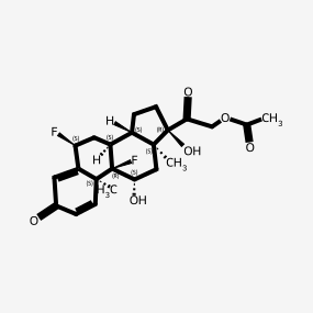 CC(=O)OCC(=O)[C@@]1(O)CC[C@H]2[C@@H]3C[C@H](F)C4=CC(=O)C=C[C@]4(C)[C@@]3(F)[C@@H](O)C[C@@]21C